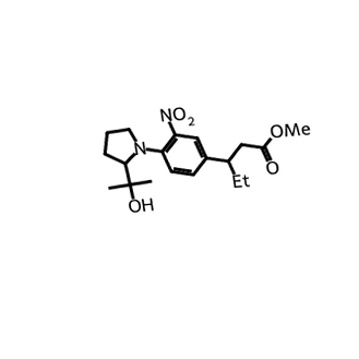 CCC(CC(=O)OC)c1ccc(N2CCCC2C(C)(C)O)c([N+](=O)[O-])c1